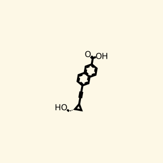 O=C(O)c1ccc2cc(C#CC3C[C@@H]3CO)ccc2c1